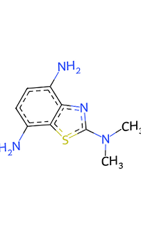 CN(C)c1nc2c(N)ccc(N)c2s1